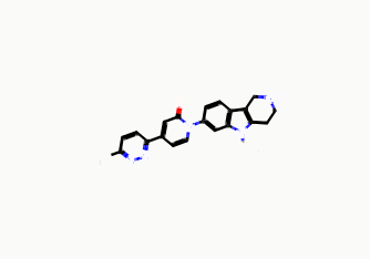 Cc1ccc(-c2ccn(-c3ccc4c5c(n(C)c4c3)CCNC5)c(=O)c2)nn1